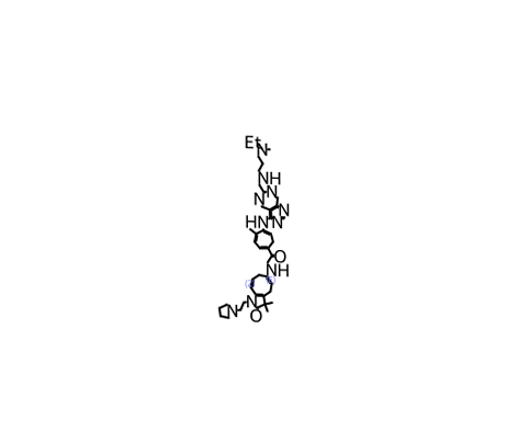 CCN(C)CCCNCC1=NCc2c(ncnc2NC2=CCC(C(=O)CN/C3=C/CC4=C(/C=C\C3)N(CCN3CCCC3)C(=O)C4(C)C)=CC=C2C)C=N1